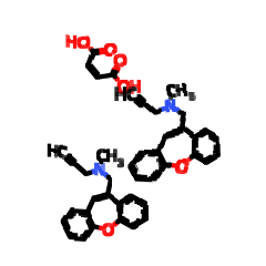 C#CCN(C)CC1=Cc2ccccc2Oc2ccccc21.C#CCN(C)CC1=Cc2ccccc2Oc2ccccc21.O=C(O)/C=C\C(=O)O